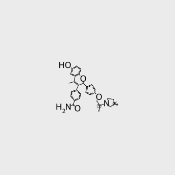 CC1=C(c2ccc(C(N)=O)cc2)C(c2ccc(OC[C@H](C)N3CC[C@@H](C)C3)cc2)Oc2ccc(O)cc21